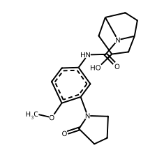 COc1ccc(NC(=O)N2C3CCC2CC(O)C3)cc1N1CCCC1=O